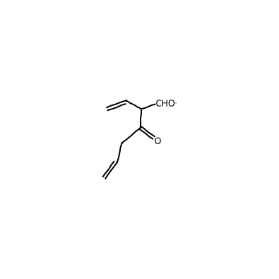 C=CCC(=O)C([C]=O)C=C